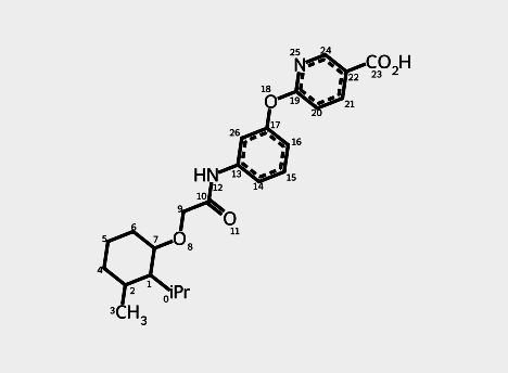 CC(C)C1C(C)CCCC1OCC(=O)Nc1cccc(Oc2ccc(C(=O)O)cn2)c1